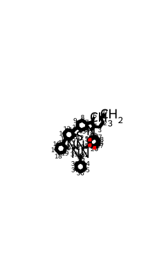 C=C/C=C\c1c(C)c2ccc3c4ccc5c6ccccc6n(-c6nc(-c7ccccc7)nc(-c7ccccc7)n6)c5c4sc3c2n1-c1ccccc1